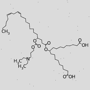 CCCCC/C=C\C/C=C\CCCCCCCCC(CCC(=O)OC(CCCCCCCCC(=O)O)CCCCCCCCC(=O)O)OC(=O)OCCCN(CC)CC